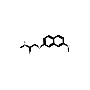 CNC(=O)COc1ccc2ccc(OC)cc2c1